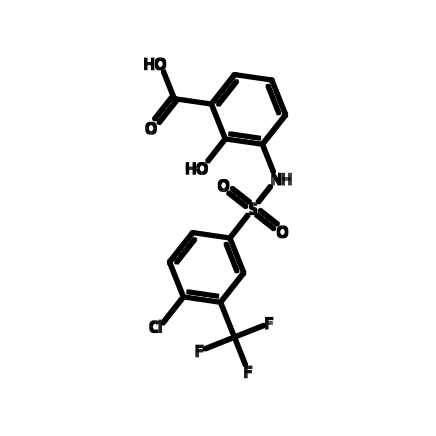 O=C(O)c1cccc(NS(=O)(=O)c2ccc(Cl)c(C(F)(F)F)c2)c1O